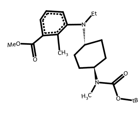 CCN(c1cccc(C(=O)OC)c1C)[C@H]1CC[C@H](N(C)C(=O)OC(C)(C)C)CC1